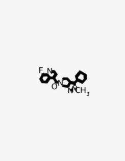 Cn1nc2c(c1-c1ccccc1)CCN(C(=O)c1ccnc3c(F)cccc13)C2